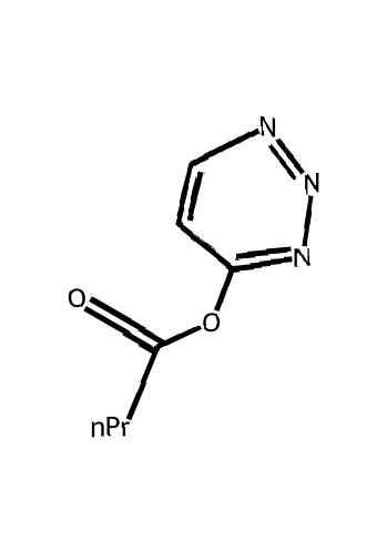 CCCC(=O)Oc1ccnnn1